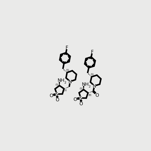 N[C@@H]1CS(=O)(=O)C[C@H]1C(=O)N1CCC[C@@H](Cc2ccc(F)cc2)C1.N[C@@H]1CS(=O)(=O)C[C@H]1CN1CCC[C@@H](Cc2ccc(F)cc2)C1